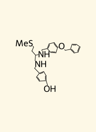 CSCCC(CNCc1ccc(CO)cc1)NCc1ccc(OCc2ccccc2)cc1